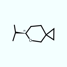 CC(C)[C@H]1CCC2(CC2)CO1